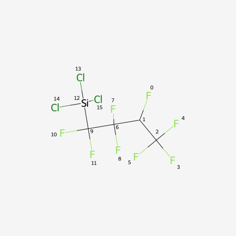 FC(C(F)(F)F)C(F)(F)C(F)(F)[Si](Cl)(Cl)Cl